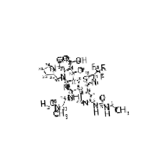 CCNC(=O)Nc1cc(-c2nc(C(F)(F)F)cs2)c(-c2cc3c(=O)c(C(=O)O)cn(CC4CCCN4CC)c3nc2NCCN(C)C)cn1